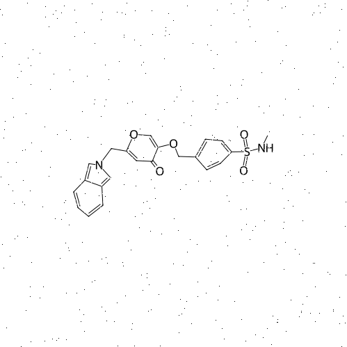 CNS(=O)(=O)c1ccc(COc2coc(Cn3cc4ccccc4c3)cc2=O)cc1